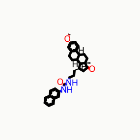 COc1ccc2c(c1)CC[C@H]1[C@@H]3[C@H](CCCNC(=O)Nc4ccc5ccccc5c4)CC(=O)[C@@]3(C)CC[C@H]21